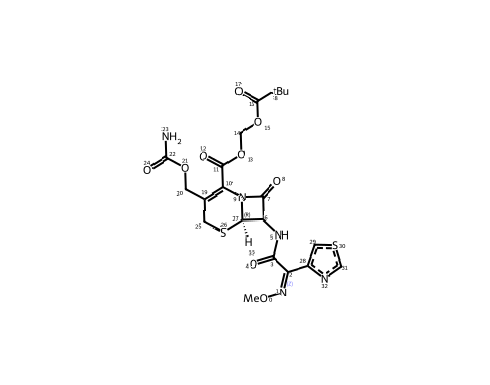 CO/N=C(\C(=O)NC1C(=O)N2C(C(=O)OCOC(=O)C(C)(C)C)=C(COC(N)=O)CS[C@H]12)c1cscn1